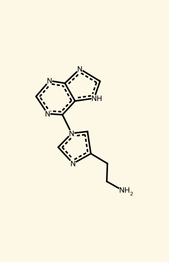 NCCc1cn(-c2ncnc3nc[nH]c23)cn1